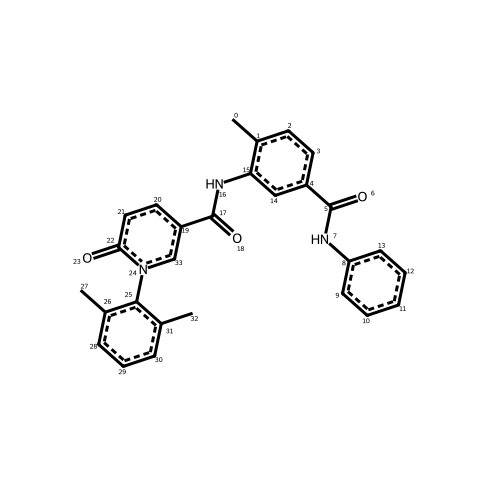 Cc1ccc(C(=O)Nc2ccccc2)cc1NC(=O)c1ccc(=O)n(-c2c(C)cccc2C)c1